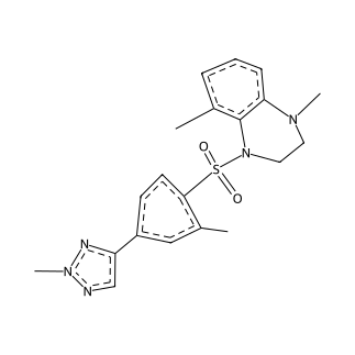 Cc1cc(-c2cnn(C)n2)ccc1S(=O)(=O)N1CCN(C)c2cccc(C)c21